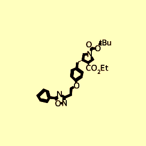 CCOC(=O)[C@H]1CN(C(=O)OC(C)(C)C)C[C@H]1Cc1ccc(OCCc2noc(-c3ccccc3)n2)cc1